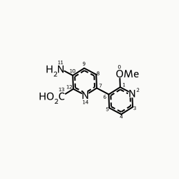 COc1ncccc1-c1ccc(N)c(C(=O)O)n1